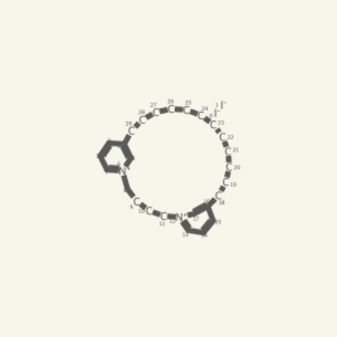 [I-].[I-].c1cc2c[n+](c1)CCCC[n+]1cccc(c1)CCCCCCCCCCCC2